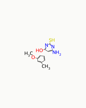 COc1cccc(C)c1.Nc1cc(O)nc(S)n1